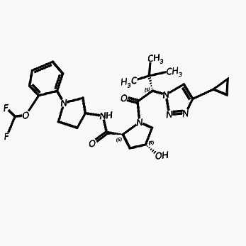 CC(C)(C)[C@@H](C(=O)N1C[C@H](O)C[C@H]1C(=O)NC1CCN(c2ccccc2OC(F)F)C1)n1cc(C2CC2)nn1